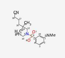 CNc1cccc(S(=O)(=O)N(CC(C)C)CC(C)(C)CCCC#N)c1